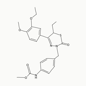 CCOc1cc(C2=NN(Cc3ccc(NC(=O)OC)cc3)C(=O)SC2CC)ccc1OC